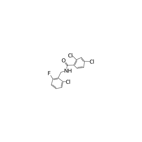 O=C(NCc1c(F)cccc1Cl)c1ccc(Cl)cc1Cl